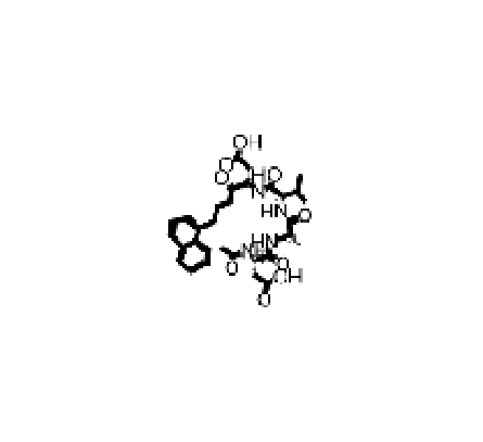 CC(=O)N[C@@H](CC(=O)O)C(=O)N[C@@H](C)C(=O)N[C@H](C(=O)N[C@@H](CC(=O)O)C(=O)CCCc1cccc2ccccc12)C(C)C